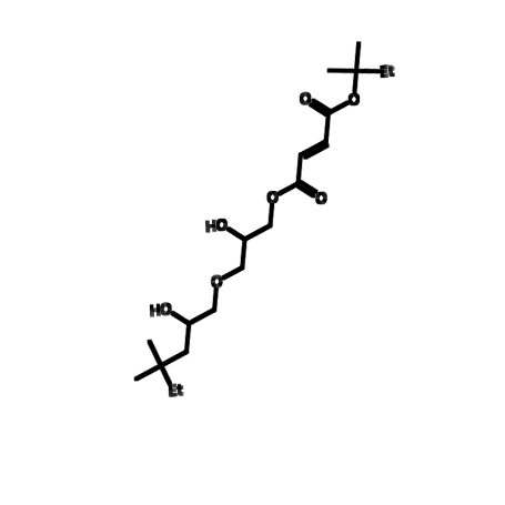 CCC(C)(C)CC(O)COCC(O)COC(=O)/C=C/C(=O)OC(C)(C)CC